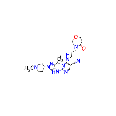 Cc1nn(C2CCN(C)CC2)cc1Nc1ncc(C#N)c(NCCCN2CCOCCC2=O)n1